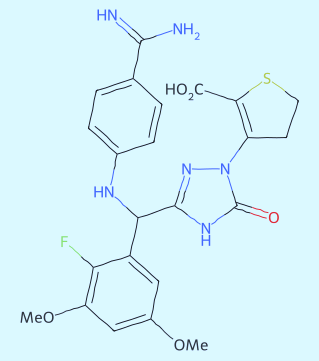 COc1cc(OC)c(F)c(C(Nc2ccc(C(=N)N)cc2)c2nn(C3=C(C(=O)O)SCC3)c(=O)[nH]2)c1